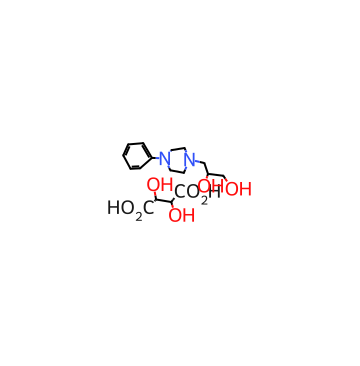 O=C(O)C(O)C(O)C(=O)O.OCC(O)CN1CCN(c2ccccc2)CC1